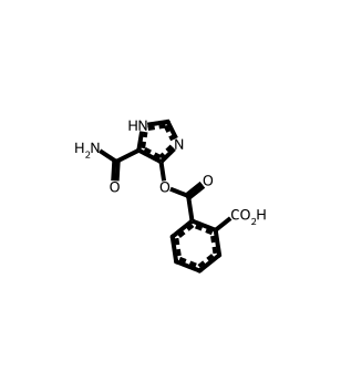 NC(=O)c1[nH]cnc1OC(=O)c1ccccc1C(=O)O